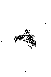 Bc1c(B)c(B)c(-c2c(B)c(B)c3oc4c(-c5nc(-c6ccccc6)nc(-c6ccc(-c7ccc(-c8ccccc8)cc7)cc6)n5)c(B)c(B)c(B)c4c3c2B)c(B)c1B